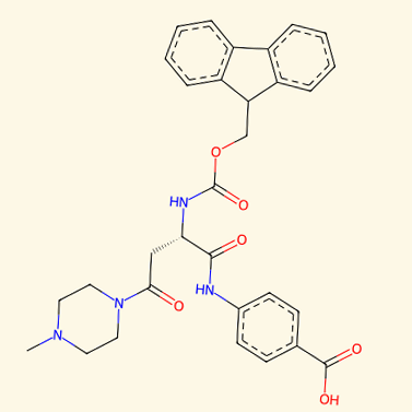 CN1CCN(C(=O)C[C@H](NC(=O)OCC2c3ccccc3-c3ccccc32)C(=O)Nc2ccc(C(=O)O)cc2)CC1